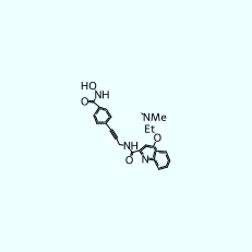 CCOc1cc(C(=O)NCC#Cc2ccc(C(=O)NO)cc2)nc2ccccc12.CNC